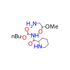 CCCCOC(=O)NC(=O)C1CCCCN1.COC(=O)CN